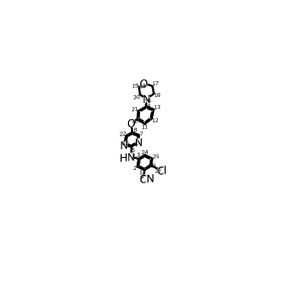 N#Cc1cc(Nc2ncc(Oc3cccc(N4CCOCC4)c3)cn2)ccc1Cl